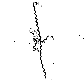 CCCCCCCCCCCCCCCCCCN(OCCCC)C(CCCCCCCCCCCCCCCCC)P(=O)(OCCCC)OCCCC